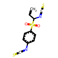 C=CC(N=C=S)S(=O)(=O)c1ccc(N=C=S)cc1